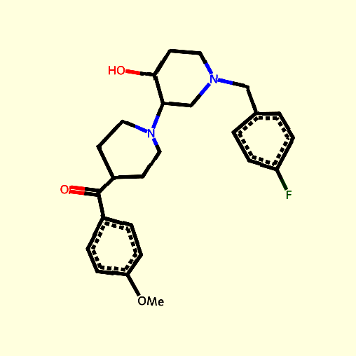 COc1ccc(C(=O)C2CCN(C3CN(Cc4ccc(F)cc4)CCC3O)CC2)cc1